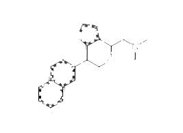 CN(C)CC1OCC(c2ccc3ccccc3c2)c2sccc21